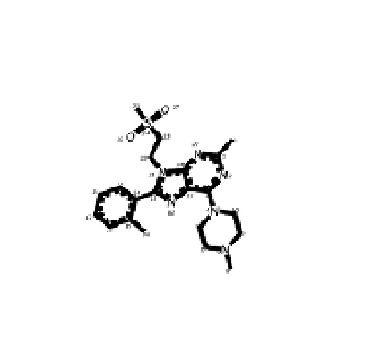 Cc1nc(N2CCN(C)CC2)c2nc(-c3ccccc3C)n(CCS(C)(=O)=O)c2n1